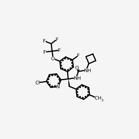 Cc1ccc(C[C@](NC(=O)NC2CCC2)(c2cc(F)cc(OC(F)(F)C(F)F)c2)c2ccc(Cl)cn2)cc1